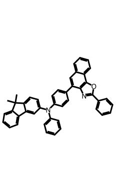 CC1(C)c2ccccc2-c2cc(N(c3ccccc3)c3ccc(-c4cc5ccccc5c5oc(-c6ccccc6)nc45)cc3)ccc21